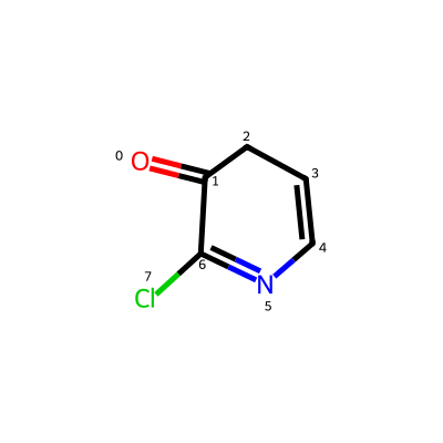 O=C1CC=CN=C1Cl